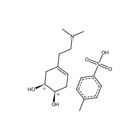 CN(C)CCC1=CC[C@@H](O)[C@@H](O)C1.Cc1ccc(S(=O)(=O)O)cc1